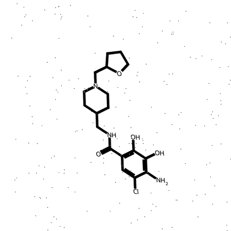 Nc1c(Cl)cc(C(=O)NCC2CCN(CC3CCCO3)CC2)c(O)c1O